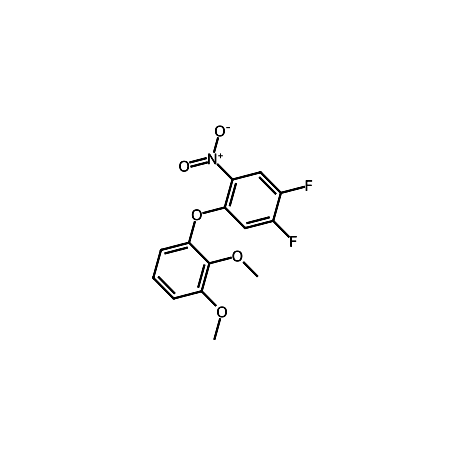 COc1cccc(Oc2cc(F)c(F)cc2[N+](=O)[O-])c1OC